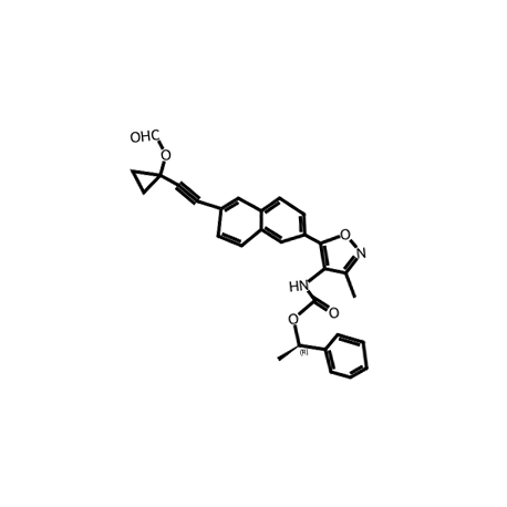 Cc1noc(-c2ccc3cc(C#CC4(OC=O)CC4)ccc3c2)c1NC(=O)O[C@H](C)c1ccccc1